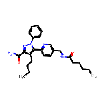 CCCCCC(=O)NCc1ccc(-c2c(CCCC)c(C(N)=O)nn2-c2ccccc2)nc1